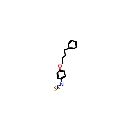 S=C=Nc1ccc(OCCCCc2ccccc2)cc1